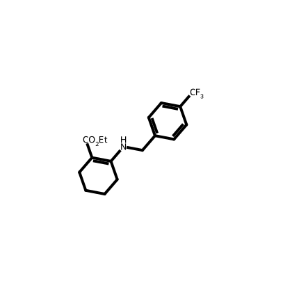 CCOC(=O)C1=C(NCc2ccc(C(F)(F)F)cc2)CCCC1